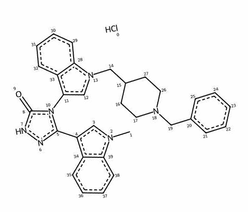 Cl.Cn1cc(-c2n[nH]c(=O)n2-c2cn(CC3CCN(Cc4ccccc4)CC3)c3ccccc23)c2ccccc21